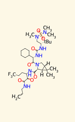 C=CCNC(=O)C(=O)C(CCC(F)(F)F)NC(=O)[C@@H]1[C@@H]2[C@H](CN1C(=O)[C@@H](NC(=O)N[C@H](CN(C)S(=O)(=O)N(C)C)C(C)(C)C)C1CCCCC1)C2(C)C